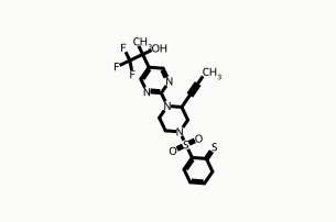 CC#CC1CN(S(=O)(=O)C2=CC=CCC2=S)CCN1c1ncc(C(C)(O)C(F)(F)F)cn1